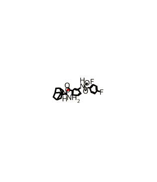 NC(=O)C12CC3CC(C1)C(NC(=O)c1cccc(NS(=O)(=O)c4ccc(F)cc4F)c1)C(C3)C2